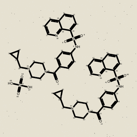 O=C(c1ccc(NS(=O)(=O)c2cccc3cccnc23)cc1)N1CCN(CC2CC2)CC1.O=C(c1ccc(NS(=O)(=O)c2cccc3cccnc23)cc1)N1CCN(CC2CC2)CC1.O=S(=O)(O)O